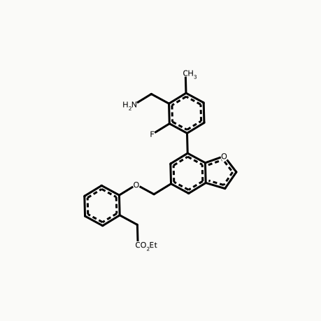 CCOC(=O)Cc1ccccc1OCc1cc(-c2ccc(C)c(CN)c2F)c2occc2c1